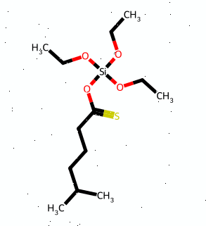 CCO[Si](OCC)(OCC)OC(=S)CCCC(C)C